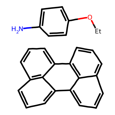 CCOc1ccc(N)cc1.c1cc2cccc3c4cccc5cccc(c(c1)c23)c54